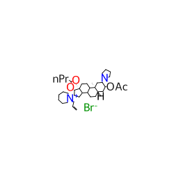 C=CC[N+]1([C@H]2CC3C4CC[C@H]5C[C@H](OC(C)=O)[C@@H](N6CCCC6)C[C@]5(C)C4CC[C@]3(C)[C@H]2OC(=O)CCC)CCCCCC1.[Br-]